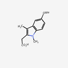 COc1ccc2c(c1)c(C)c(CC(=O)O)n2C